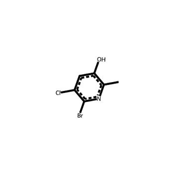 Cc1nc(Br)c(Cl)cc1O